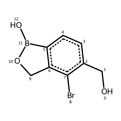 OCc1ccc2c(c1Br)COB2O